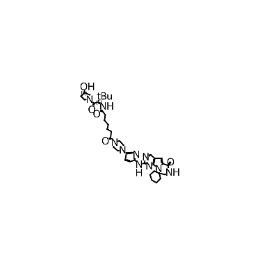 CC(C)(C)[C@H](NC(=O)CCCCCC(=O)N1CCN(c2ccc(Nc3ncc4cc5n(c4n3)C3(CCCCC3)CNC5=O)nc2)CC1)C(=O)N1CC[C@@H](O)C1